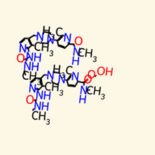 CCNC(=O)Nc1nccc(CN2CCN(c3ccc(C(=O)NC)nc3C)CC2)c1C.CCNC(=O)Nc1nccc(CN2CCN(c3ccc(C(=O)NC)nc3C)CC2)c1C.O=CO